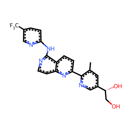 Cc1cc([C@H](O)CO)cnc1-c1ccc2c(Nc3ccc(C(F)(F)F)cn3)nccc2n1